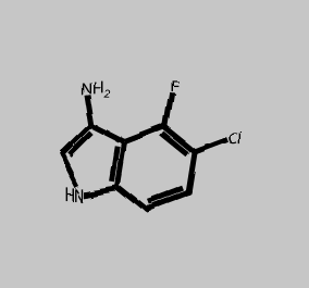 Nc1c[nH]c2ccc(Cl)c(F)c12